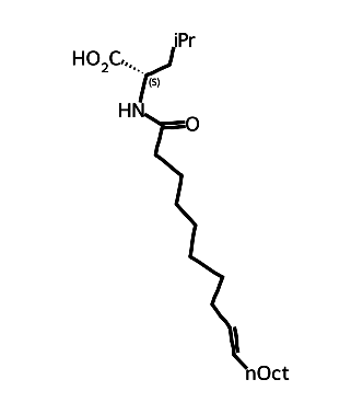 CCCCCCCCC=CCCCCCCCC(=O)N[C@@H](CC(C)C)C(=O)O